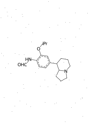 CC(C)Oc1cc(C2CCCN3CCCC23)ccc1NC=O